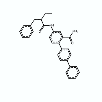 CCC(Cc1ccccc1)C(=O)Nc1ccc(-c2ccc(-c3ccccc3)cc2)c(C(N)=O)c1